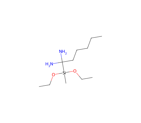 CCCCCC(N)(N)[Si](C)(OCC)OCC